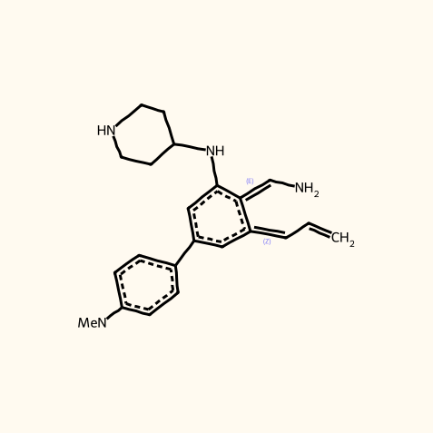 C=C/C=c1/cc(-c2ccc(NC)cc2)cc(NC2CCNCC2)/c1=C/N